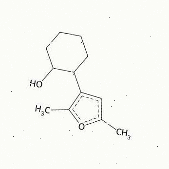 Cc1cc([C]2CCCCC2O)c(C)o1